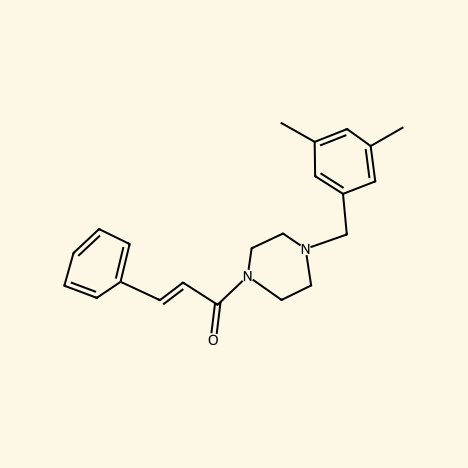 Cc1cc(C)cc(CN2CCN(C(=O)/C=C/c3ccccc3)CC2)c1